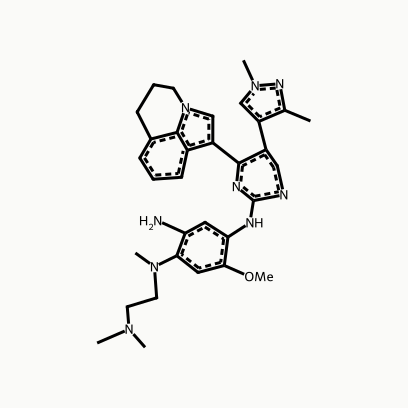 COc1cc(N(C)CCN(C)C)c(N)cc1Nc1ncc(-c2cn(C)nc2C)c(-c2cn3c4c(cccc24)CCC3)n1